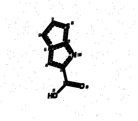 O=C(O)c1cn2ccsc2n1